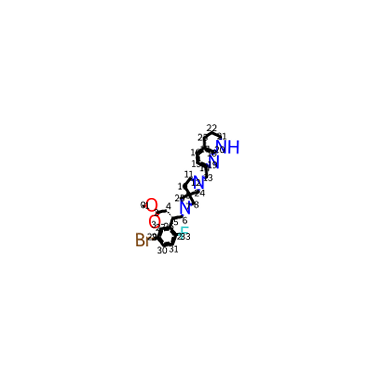 COC(=O)C[C@H](CN1CC2(CCN(Cc3ccc4c(n3)NCCC4)C2)C1)c1cc(Br)ccc1F